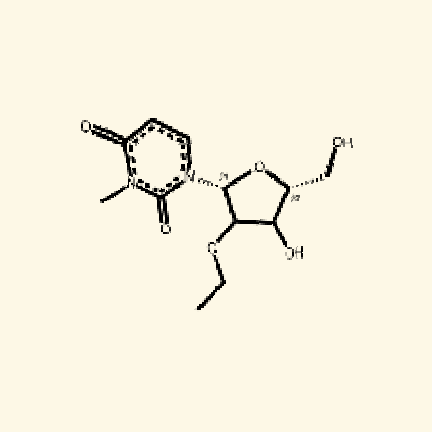 CCOC1C(O)[C@@H](CO)O[C@H]1n1ccc(=O)n(C)c1=O